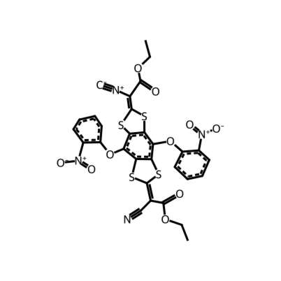 [C-]#[N+]C(C(=O)OCC)=C1Sc2c(Oc3ccccc3[N+](=O)[O-])c3c(c(Oc4ccccc4[N+](=O)[O-])c2S1)SC(=C(C#N)C(=O)OCC)S3